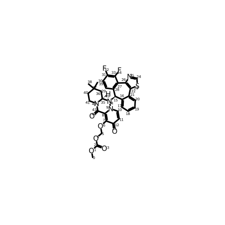 COC(=O)OCOc1c2n(ccc1=O)N([C@@H]1c3ccccc3-c3scnc3-c3c1ccc(F)c3F)[C@@H]1CC(C)(C)CCN1C2=O